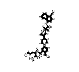 CNC(=O)C(CCC=O)N(C)C(=O)c1cc(N2CCC(c3cnn(C(C)(C)C(=O)Nc4ccc(C#N)c5ccccc45)c3)CC2)ccc1C=O